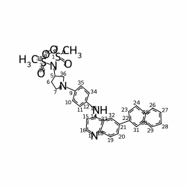 CS(=O)(=O)N(C1CCN(c2ccc(Nc3ccnc4ccc(-c5ccc6ccccc6c5)cc34)cc2)C1)S(C)(=O)=O